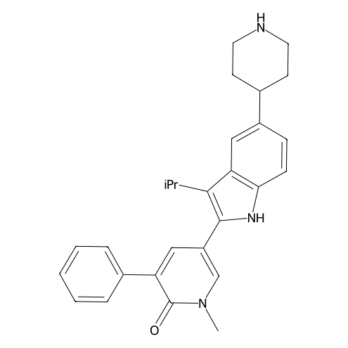 CC(C)c1c(-c2cc(-c3ccccc3)c(=O)n(C)c2)[nH]c2ccc(C3CCNCC3)cc12